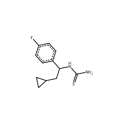 NC(=S)NC(CC1CC1)c1ccc(F)cc1